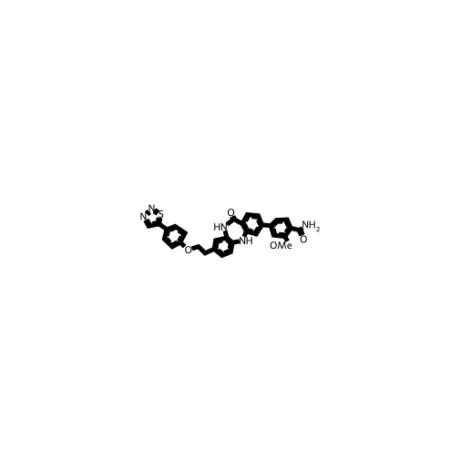 COc1cc(-c2ccc3c(c2)Nc2ccc(CCOc4ccc(-c5cnns5)cc4)cc2NC3=O)ccc1C(N)=O